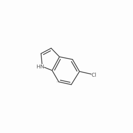 Clc1c[c]c2[nH]ccc2c1